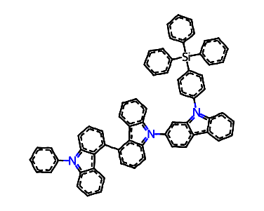 c1ccc(-n2c3ccccc3c3c(-c4cccc5c4c4ccccc4n5-c4ccc5c6ccccc6n(-c6ccc([Si](c7ccccc7)(c7ccccc7)c7ccccc7)cc6)c5c4)cccc32)cc1